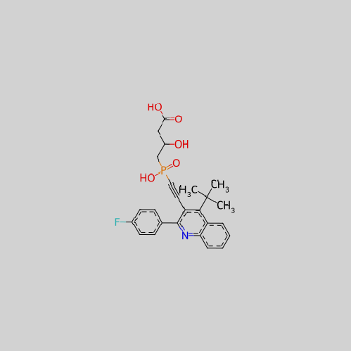 CC(C)(C)c1c(C#CP(=O)(O)CC(O)CC(=O)O)c(-c2ccc(F)cc2)nc2ccccc12